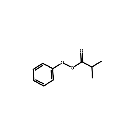 CC(C)C(=O)OOc1ccccc1